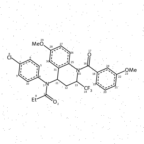 CCC(=O)N(c1ccc(Cl)cc1)C1CC(C(F)(F)F)N(C(=O)c2cccc(OC)c2)c2ccc(OC)cc21